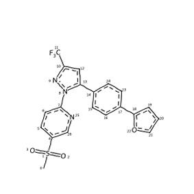 CS(=O)(=O)c1ccc(-n2nc(C(F)(F)F)cc2-c2ccc(-c3ccco3)cc2)nc1